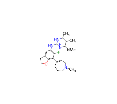 CNC1NC(Nc2cc3c(c(C4=CCN(C)CCC4)c2F)OCC3)NC(C)C1C